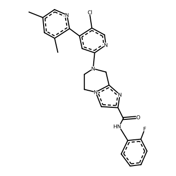 Cc1cnc(-c2cc(N3CCn4cc(C(=O)Nc5ccccc5F)nc4C3)ncc2Cl)c(C)c1